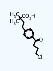 CC(C)(CCc1ccc(C(=O)CCCCl)cc1)C(=O)O